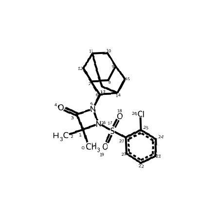 CC1(C)C(=O)N(C2C3CC4CC(C3)CC2C4)N1S(=O)(=O)c1ccccc1Cl